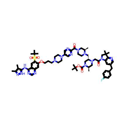 Cc1n[nH]c(Nc2ncnc3cc(OCCCN4CCN(c5cnc(C(=O)N6CCN(C[C@H]7CN(C(=O)OC(C)(C)C)[C@H](C)CN7CC(=O)N7CC(C)(C)c8ncc(Cc9ccc(F)cc9)cc87)[C@H](C)C6)nc5)CC4)c(S(=O)(=O)C(C)(C)C)cc23)c1C